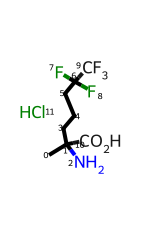 CC(N)(CCCC(F)(F)C(F)(F)F)C(=O)O.Cl